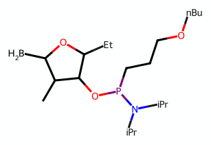 BC1OC(CC)C(OP(CCCOCCCC)N(C(C)C)C(C)C)C1C